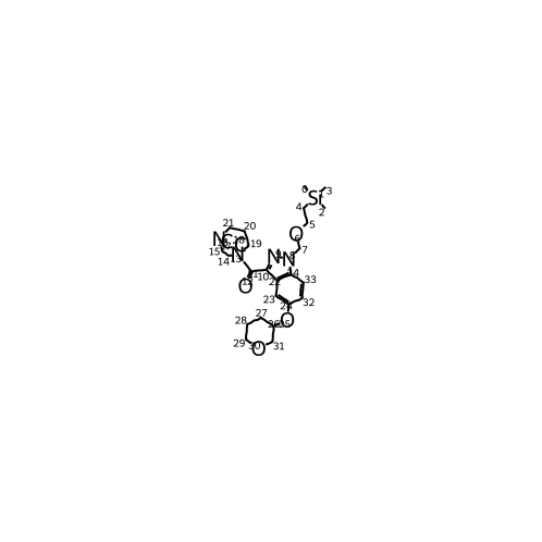 C[Si](C)(C)CCOCn1nc(C(=O)N2CCN3CCC2CC3)c2cc(OC3CCCOC3)ccc21